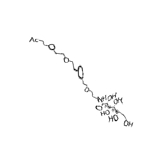 CC(=O)CCOCCOCCOCCOCCNC(=O)[C@H](O)[C@@H](O)[C@H](O)[C@H](O)CO